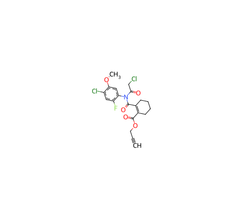 C#CCOC(=O)C1=C(C(=O)N(C(=O)CCl)c2cc(OC)c(Cl)cc2F)CCCC1